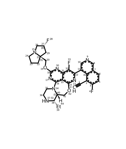 C#Cc1c(F)ccc2cncc(-c3nc4c5c(nc(OC[C@@]67CCCN6C[C@H](F)C7)nc5c3F)N3CCN[C@@H](CC)[C@H]3CO4)c12